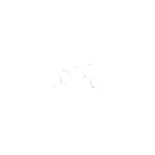 CON(Cc1ccc(Cl)cc1)C(=O)/C=C(\O)C(=O)O